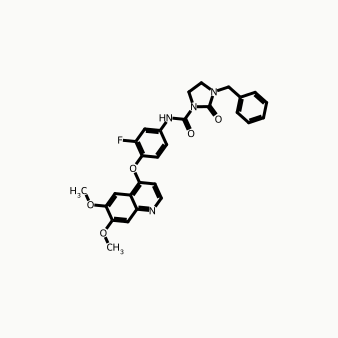 COc1cc2nccc(Oc3ccc(NC(=O)N4CCN(Cc5ccccc5)C4=O)cc3F)c2cc1OC